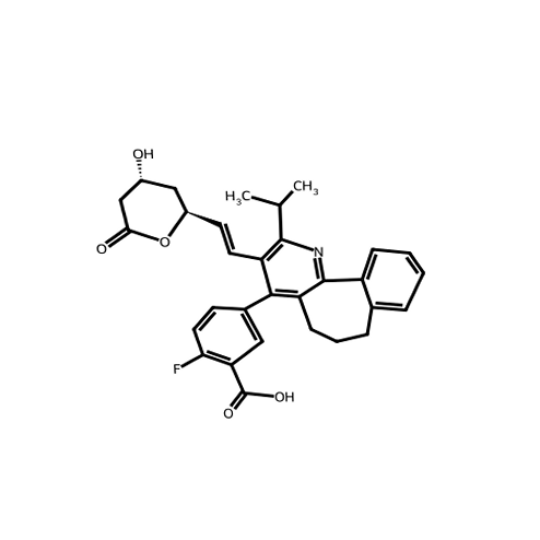 CC(C)c1nc2c(c(-c3ccc(F)c(C(=O)O)c3)c1/C=C/[C@@H]1C[C@@H](O)CC(=O)O1)CCCc1ccccc1-2